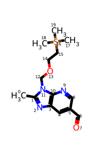 Cc1nc2cc(C=O)cnc2n1COCCS(C)(C)C